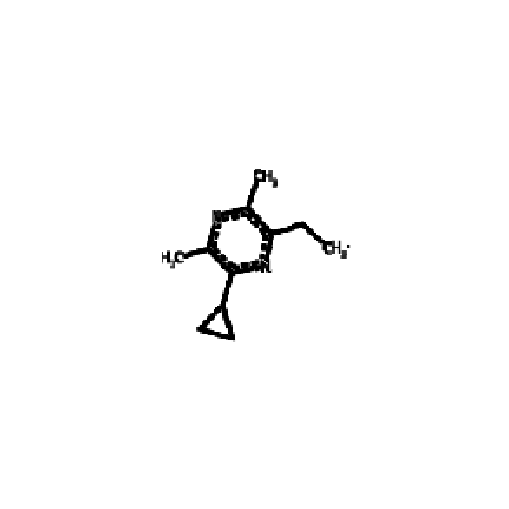 [CH2]Cc1nc(C2CC2)c(C)nc1C